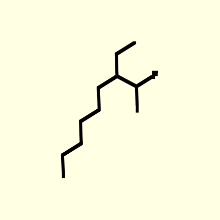 CCCCCCC(CC)C(F)I